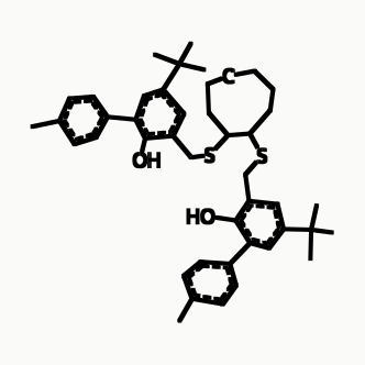 Cc1ccc(-c2cc(C(C)(C)C)cc(CSC3CCCCCCC3SCc3cc(C(C)(C)C)cc(-c4ccc(C)cc4)c3O)c2O)cc1